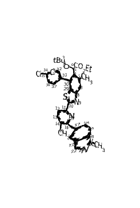 CCOC(=O)[C@@H](OC(C)(C)C)c1c(C)cc2nc(-c3ccc(C)c(-c4ccc5c(cnn5C)c4)n3)sc2c1-c1ccc(Cl)cc1